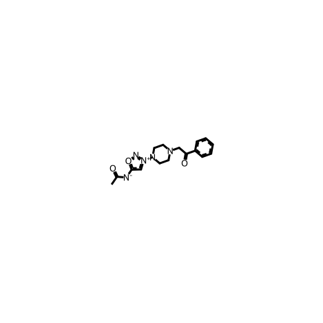 CC(=O)[N-]c1c[n+](N2CCN(CC(=O)c3ccccc3)CC2)no1